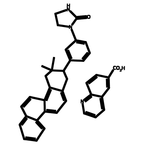 CC1(C)Cc2c(ccc3c2ccc2ccccc23)CC1c1cccc(N2CCNC2=O)c1.O=C(O)c1ccc2ncccc2c1